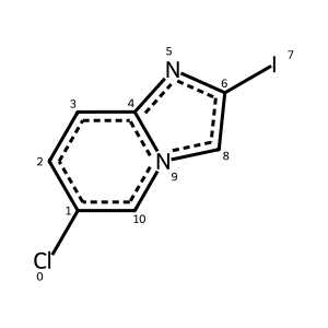 Clc1ccc2nc(I)cn2c1